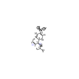 C/C=C\C(=N/C(C)I)C1C=CC([N+](=O)[O-])=CC1